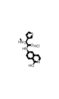 CN[C@@H](C(=O)Nc1ccc2c(O)nccc2c1)c1ccsc1.Cl